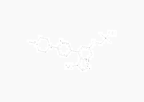 CN1CCN(c2ccc(-c3cc(OCC(C)(C)O)cn4ncc(C#N)c34)cn2)CC1